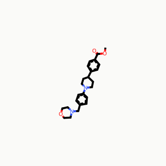 COC(=O)c1ccc(C2CCN(c3ccc(CN4CCOCC4)cc3)CC2)cc1